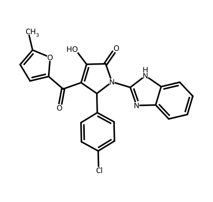 Cc1ccc(C(=O)C2=C(O)C(=O)N(c3nc4ccccc4[nH]3)C2c2ccc(Cl)cc2)o1